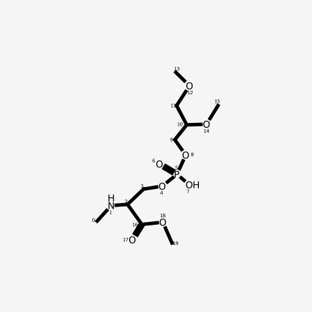 CNC(COP(=O)(O)OCC(COC)OC)C(=O)OC